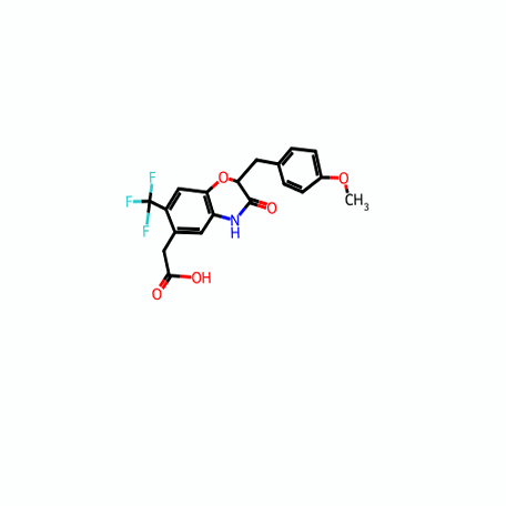 COc1ccc(CC2Oc3cc(C(F)(F)F)c(CC(=O)O)cc3NC2=O)cc1